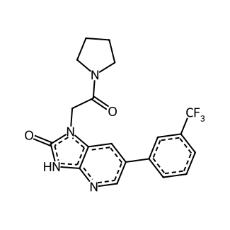 O=C(Cn1c(=O)[nH]c2ncc(-c3cccc(C(F)(F)F)c3)cc21)N1CCCC1